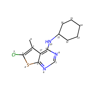 Cc1c(Cl)sc2ncnc(NC3CCCCC3)c12